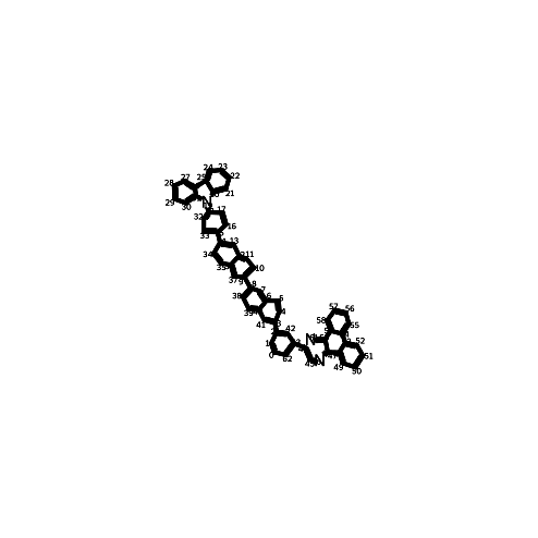 c1cc(-c2ccc3cc(-c4ccc5cc(-c6ccc(-n7c8ccccc8c8ccccc87)cc6)ccc5c4)ccc3c2)cc(-c2cnc3c4ccccc4c4ccccc4c3n2)c1